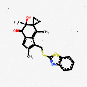 CC1=C(CSc2nc3ccccc3s2)C2=C(C)C3(CC3)[C@@](C)(O)C(=O)C2=C1